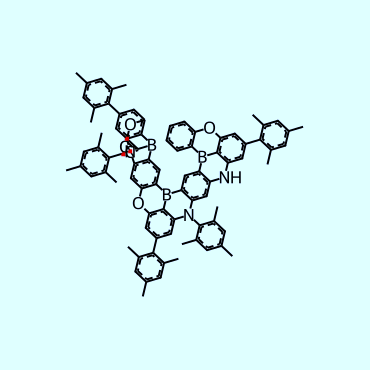 Cc1cc(C)c(-c2cc3c4c(c2)Oc2ccccc2B4c2cc4c(cc2N3)N(c2c(C)cc(C)cc2C)c2cc(-c3c(C)cc(C)cc3C)cc3c2B4c2cc4c(cc2O3)N(c2c(C)cc(C)cc2C)c2cc(-c3c(C)cc(C)cc3C)cc3c2B4c2ccccc2O3)c(C)c1